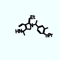 C=CC1=C(C(C)=N)CN(C(C)c2ccc(CCC)c(C)c2)/C1=C\CC